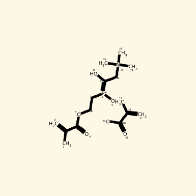 C=C(C)C(=O)OCC/[P+]([O-])=C(\O)C[N+](C)(C)C.C=C(C)C(=O)[O-]